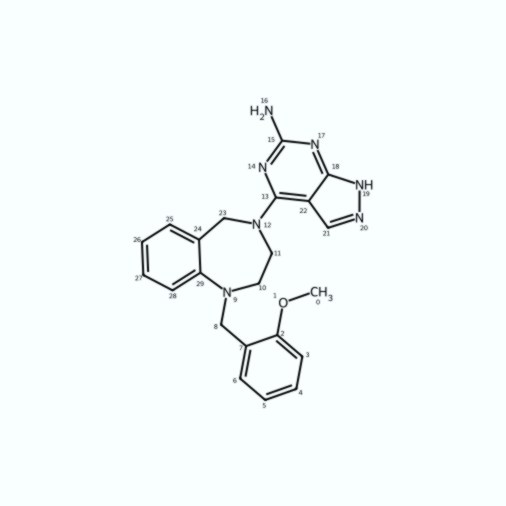 COc1ccccc1CN1CCN(c2nc(N)nc3[nH]ncc23)Cc2ccccc21